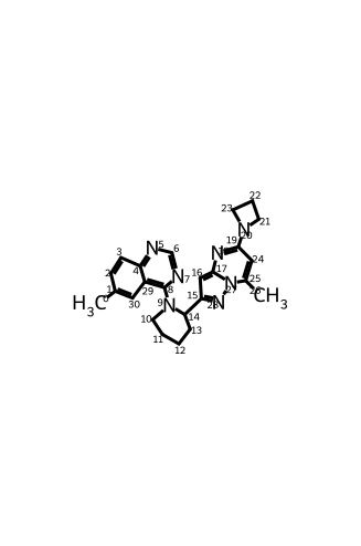 Cc1ccc2ncnc(N3CCCCC3c3cc4nc(N5CCC5)cc(C)n4n3)c2c1